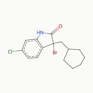 O=C1Nc2cc(Cl)ccc2C1(Br)CC1CCCCC1